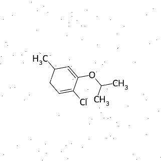 CC1C=C(OC(C)C)C(Cl)=CC1